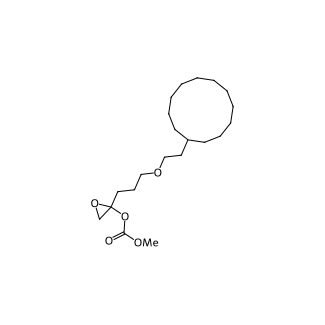 COC(=O)OC1(CCCOCCC2CCCCCCCCCCC2)CO1